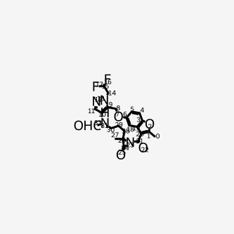 Cc1oc2ccc(OCc3ccnn3CC(F)F)cc2c1C(=O)N1C(=O)C1(C)CCCNC=O